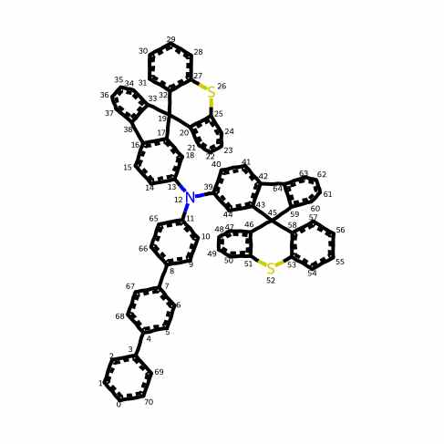 c1ccc(-c2ccc(-c3ccc(N(c4ccc5c(c4)C4(c6ccccc6Sc6ccccc64)c4ccccc4-5)c4ccc5c(c4)C4(c6ccccc6Sc6ccccc64)c4ccccc4-5)cc3)cc2)cc1